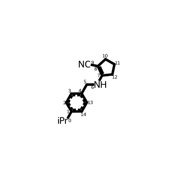 CC(C)c1ccc(CNC2=C(C#N)CCC2)cc1